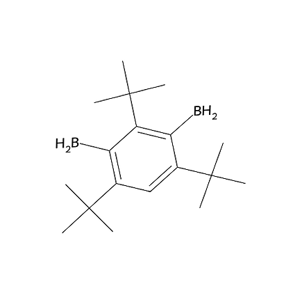 Bc1c(C(C)(C)C)cc(C(C)(C)C)c(B)c1C(C)(C)C